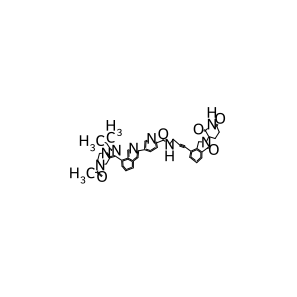 CC(=O)N1CCn2c(C(C)C)nc(-c3cccc4cc(-c5ccc(C(=O)NCC#Cc6cccc7c6CN(C6CCC(=O)NC6=O)C7=O)nc5)ncc34)c2C1